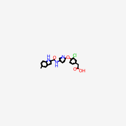 Cc1ccc2[nH]c(C(=O)Nc3ccc(Oc4ccc(CC(=O)O)cc4Cl)nc3)cc2c1